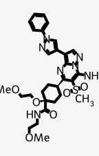 COCCNC(=O)[C@]1(OCCOC)CC[C@@H](c2nc3c(-c4cnn(-c5ccccc5)c4)cnn3c(N)c2S(C)(=O)=O)CC1